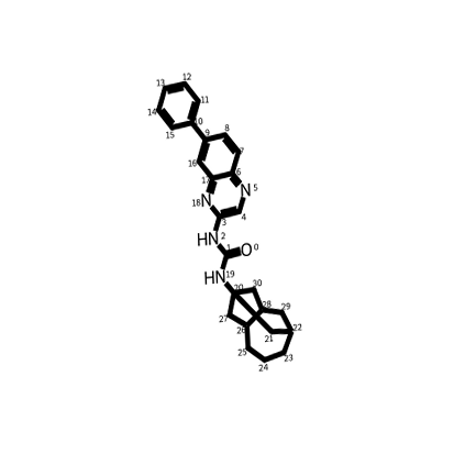 O=C(Nc1cnc2ccc(-c3ccccc3)cc2n1)NC12CC3CCCC(C1)C(C3)C2